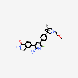 COCCN1C[C@@H]2C[C@]2(c2ccc(-c3cc(-c4ccc5c(c4)CCNC5=O)c(N)nc3F)cc2)C1